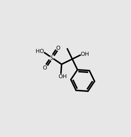 CC(O)(c1ccccc1)C(O)S(=O)(=O)O